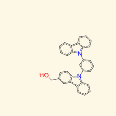 OCc1ccc2c(c1)c1ccccc1n2-c1cccc(-n2c3ccccc3c3ccccc32)c1